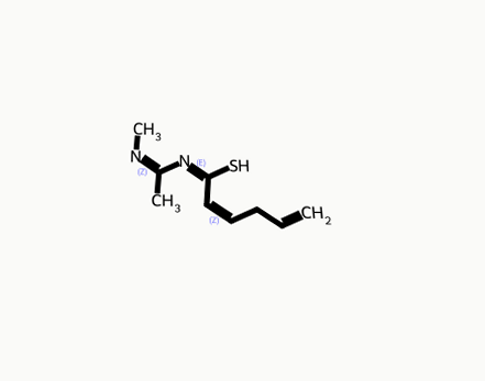 C=CC\C=C/C(S)=N\C(C)=N/C